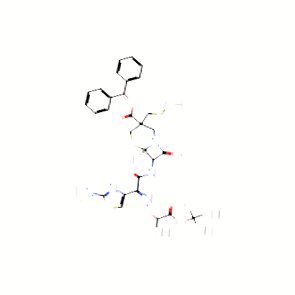 CSCC1(C(=O)OC(c2ccccc2)c2ccccc2)CS[C@@H]2C(NC(=O)C(=NOC(C)C(=O)OC(C)(C)C)c3csc(N)n3)C(=O)N2C1